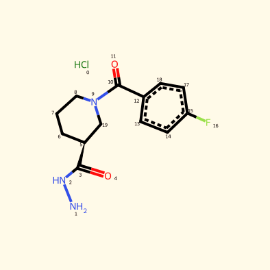 Cl.NNC(=O)[C@H]1CCCN(C(=O)c2ccc(F)cc2)C1